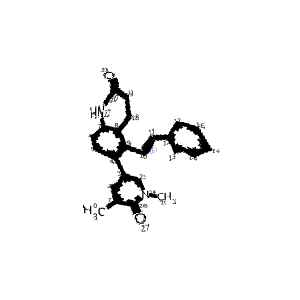 Cc1cc(-c2ccc3c(c2/C=C/c2ccccc2)CCC(=O)N3)cn(C)c1=O